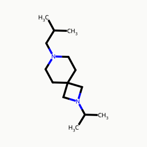 CC(C)CN1CCC2(CC1)CN(C(C)C)C2